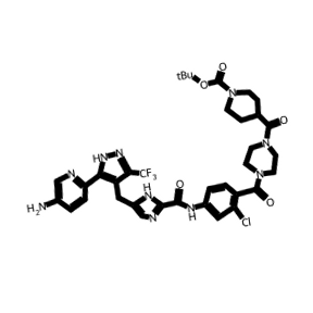 CC(C)(C)OC(=O)N1CCC(C(=O)N2CCN(C(=O)c3ccc(NC(=O)c4ncc(Cc5c(C(F)(F)F)n[nH]c5-c5ccc(N)cn5)[nH]4)cc3Cl)CC2)CC1